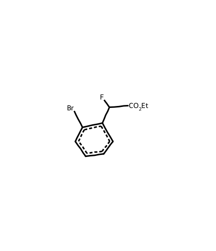 CCOC(=O)C(F)c1ccccc1Br